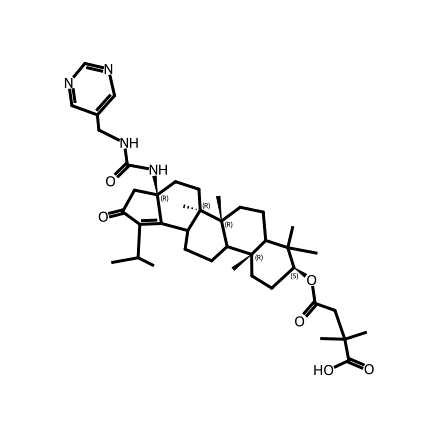 CC(C)C1=C2C3CCC4[C@@]5(C)CC[C@H](OC(=O)CC(C)(C)C(=O)O)C(C)(C)C5CC[C@@]4(C)[C@]3(C)CC[C@@]2(NC(=O)NCc2cncnc2)CC1=O